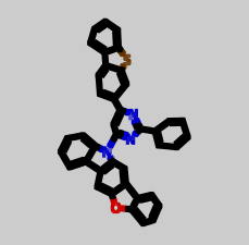 c1ccc(-c2nc(-c3ccc4c(c3)sc3ccccc34)cc(-n3c4ccccc4c4cc5oc6ccccc6c5cc43)n2)cc1